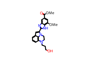 COC(=O)c1cc(OC)c2[nH]c(-c3cc4cccc5c4n3CCN5CCCO)nc2c1